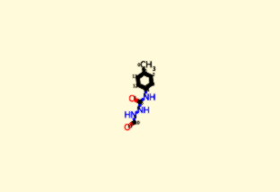 Cc1ccc(NC(=O)NNC=O)cc1